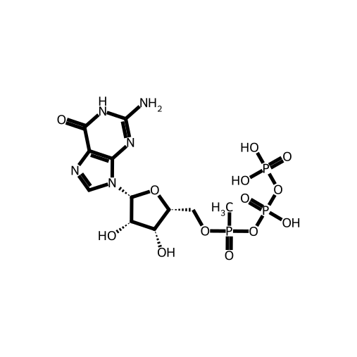 CP(=O)(OC[C@H]1O[C@@H](n2cnc3c(=O)[nH]c(N)nc32)[C@@H](O)[C@H]1O)OP(=O)(O)OP(=O)(O)O